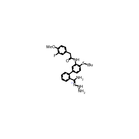 COc1ccc(CC(=O)Nc2cc(-c3ccccc3/C(N)=N/NN)ccc2SC(C)(C)C)cc1F